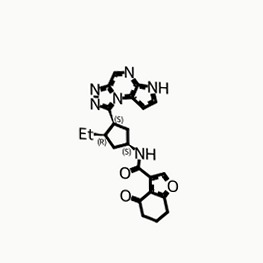 CC[C@@H]1C[C@H](NC(=O)c2coc3c2C(=O)CCC3)C[C@@H]1c1nnc2cnc3[nH]ccc3n12